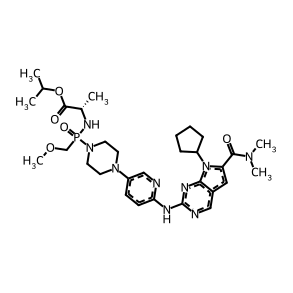 COCP(=O)(N[C@@H](C)C(=O)OC(C)C)N1CCN(c2ccc(Nc3ncc4cc(C(=O)N(C)C)n(C5CCCC5)c4n3)nc2)CC1